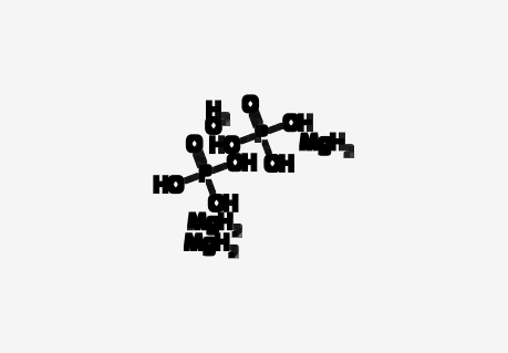 O.O=P(O)(O)O.O=P(O)(O)O.[MgH2].[MgH2].[MgH2]